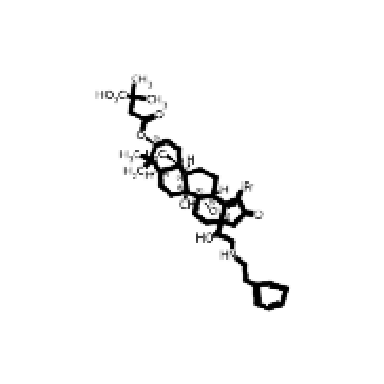 CC(C)C1=C2[C@H]3CC[C@@H]4[C@@]5(C)CC[C@H](OC(=O)CC(C)(C)C(=O)O)C(C)(C)[C@@H]5CC[C@@]4(C)[C@]3(C)CCC2(C(O)CNCCc2ccccc2)CC1=O